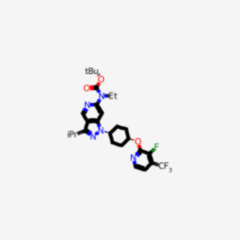 CCN(C(=O)OC(C)(C)C)c1cc2c(cn1)c(C(C)C)nn2[C@H]1CC[C@@H](Oc2nccc(C(F)(F)F)c2F)CC1